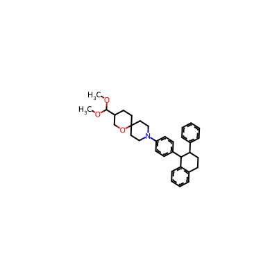 COC(OC)C1CCC2(CCN(c3ccc(C4c5ccccc5CCC4c4ccccc4)cc3)CC2)OC1